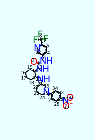 O=C(Nc1ccc(C(F)(F)F)nc1)N[C@@H]1CCCC[C@H]1N[C@H]1CCCN(c2ccc([N+](=O)[O-])cc2)C1